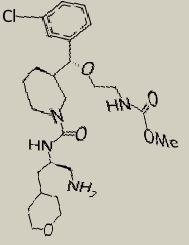 COC(=O)NCCO[C@@H](c1cccc(Cl)c1)[C@@H]1CCCN(C(=O)N[C@@H](CN)CC2CCOCC2)C1